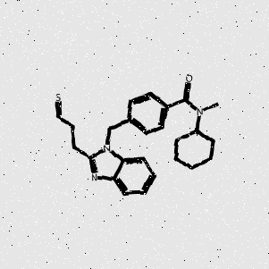 CN(C(=O)c1ccc(Cn2c(CCC=S)nc3ccccc32)cc1)C1CCCCC1